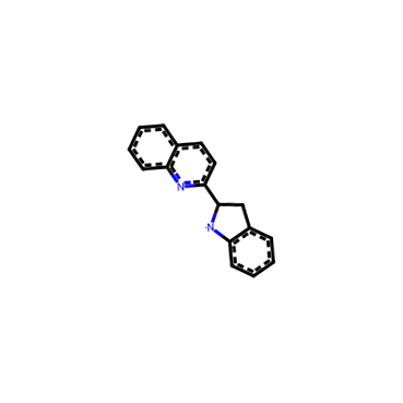 c1ccc2c(c1)CC(c1ccc3ccccc3n1)[N]2